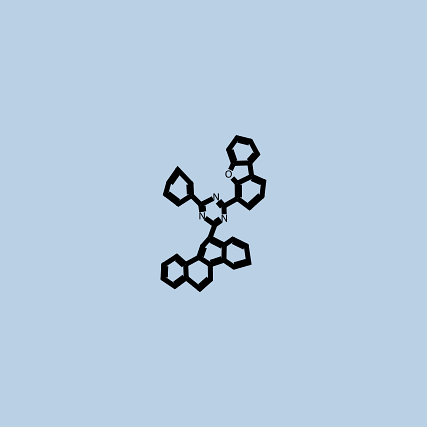 c1ccc(-c2nc(-c3cc4c5ccccc5ccc4c4ccccc34)nc(-c3cccc4c3oc3ccccc34)n2)cc1